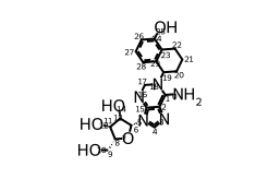 NC1=c2ncn([C@@H]3O[C@H](CO)[C@@H](O)[C@H]3O)c2=NCN1C1CCCc2c(O)cccc21